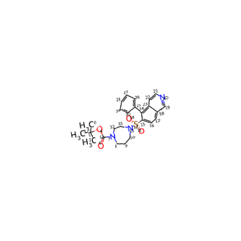 CC(C)(C)OC(=O)N1CCCN(S(=O)(=O)c2ccc3cnccc3c2-c2ccccc2)CC1